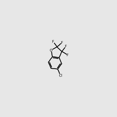 FC1(F)Oc2ccc(Cl)cc2C1(F)F